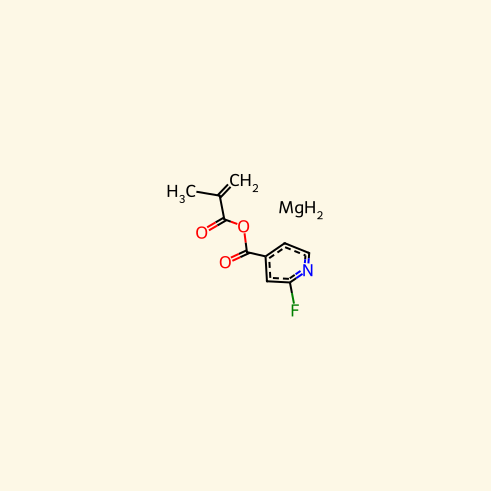 C=C(C)C(=O)OC(=O)c1ccnc(F)c1.[MgH2]